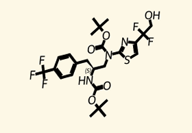 CC(C)(C)OC(=O)N[C@@H](Cc1ccc(C(F)(F)F)cc1)CN(C(=O)OC(C)(C)C)c1nc(C(F)(F)CO)cs1